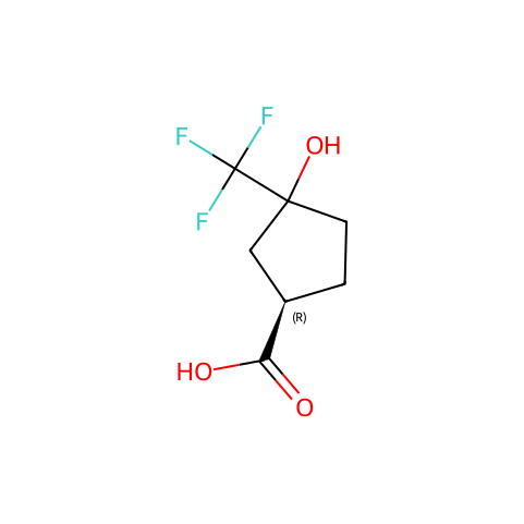 O=C(O)[C@@H]1CCC(O)(C(F)(F)F)C1